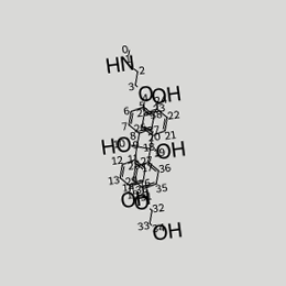 CNCCOc1ccc([C@@](O)(c2ccc(O)cc2)[C@@](O)(c2ccc(O)cc2)c2ccc(OCCO)cc2)cc1